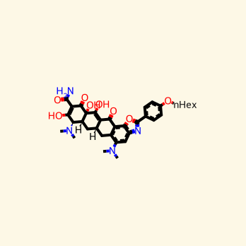 CCCCCCOc1ccc(-c2nc3cc(N(C)C)c4c(c3o2)C(=O)C2=C(O)C3(O)C(=O)C(C(N)=O)=C(O)[C@@H](N(C)C)[C@@H]3C[C@@H]2C4)cc1